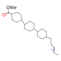 C/C=C/CCC1CCC(C2CCC(C3CCC(C(=O)OC)CC3)CC2)CC1